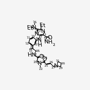 CCc1nc(C(N)=O)c(Nc2cccc(C(C)CNC(=O)CN(C)C(=O)C=CCN3CCC3)c2)nc1N(C)CC